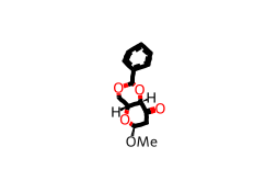 CO[C@@H]1CC(=O)[C@@H]2OC(c3ccccc3)OC[C@H]2O1